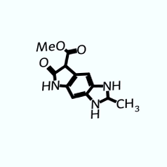 COC(=O)C1C(=O)Nc2cc3c(cc21)NC(C)N3